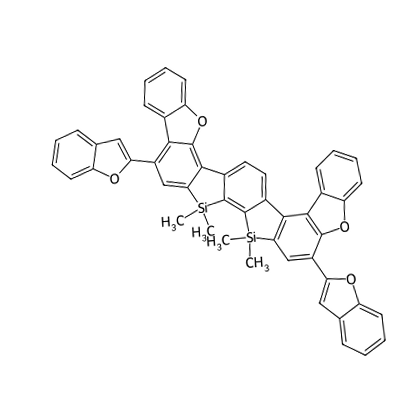 C[Si]1(C)c2cc(-c3cc4ccccc4o3)c3c(oc4ccccc43)c2-c2ccc3c(c21)[Si](C)(C)c1cc(-c2cc4ccccc4o2)c2oc4ccccc4c2c1-3